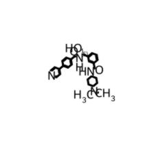 CN(C)C1CCC(NC(=O)c2cccc([C@@H](CO)NC(=O)c3ccc(-c4ccncc4)cc3)c2)CC1